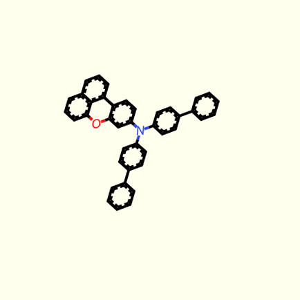 c1ccc(-c2ccc(N(c3ccc(-c4ccccc4)cc3)c3ccc4c(c3)Oc3cccc5cccc-4c35)cc2)cc1